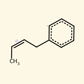 C/C=C\Cc1[c]cccc1